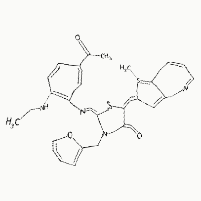 CCNc1ccc(C(C)=O)cc1N=C1SC(=C2C=c3ncccc3=S2C)C(=O)N1Cc1ccco1